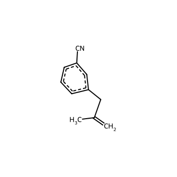 C=C(C)Cc1cccc(C#N)c1